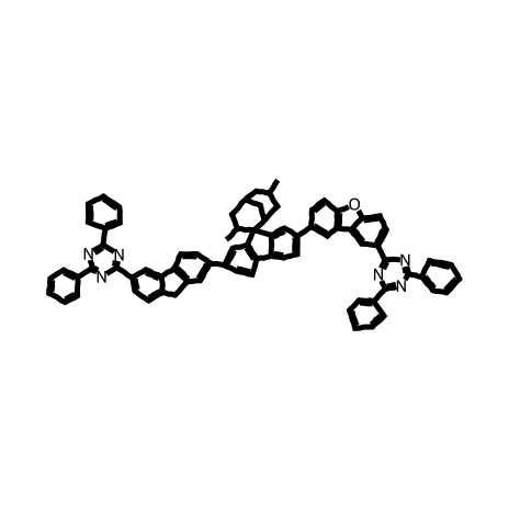 CC1CC2CC(C)C3(c4cc(-c5ccc6c(c5)Cc5ccc(-c7nc(-c8ccccc8)nc(-c8ccccc8)n7)cc5-6)ccc4-c4ccc(-c5ccc6oc7ccc(-c8nc(-c9ccccc9)nc(-c9ccccc9)n8)cc7c6c5)cc43)C(C1)C2